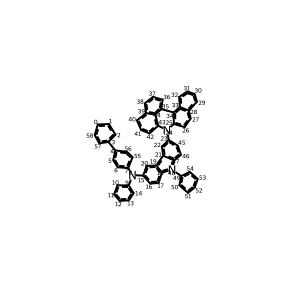 c1ccc(-c2ccc(N(c3ccccc3)c3ccc4c(c3)c3cc(N5c6ccc7ccccc7c6-c6cccc7cccc5c67)ccc3n4-c3ccccc3)cc2)cc1